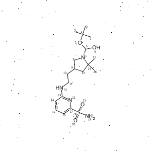 CC(C)(C)OC(O)N1CC(CCNc2cccc(S(N)(=O)=O)n2)CC1(C)C